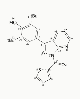 CC(C)(C)c1cc(-c2nn(C(=O)c3cccs3)c3ncccc23)cc(C(C)(C)C)c1O